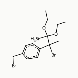 CCOC([SiH3])(OCC)C(C)(Br)c1ccc(CBr)cc1